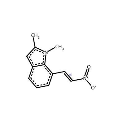 Cc1cc2cccc(/C=C/[N+](=O)[O-])c2n1C